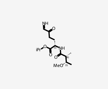 CO[C@@H](C)[C@@H](C)C(=O)N[C@@H](CCC(=O)C=N)C(=O)OC(C)C